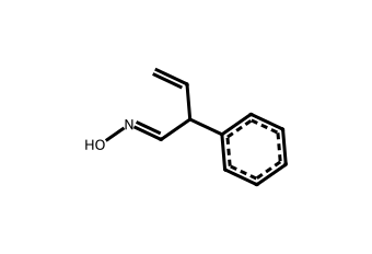 C=CC(C=NO)c1ccccc1